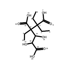 CCC(CC)(C(=O)O)C(CC)(C(=O)O)C(O)C(O)C(=O)O